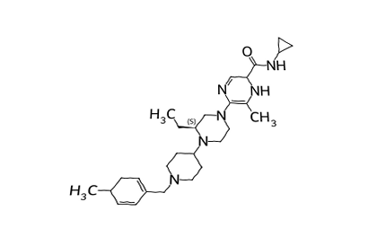 CC[C@H]1CN(C2=C(C)NC(C(=O)NC3CC3)C=N2)CCN1C1CCN(CC2=CCC(C)C=C2)CC1